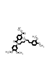 COc1ccc(CCN(C)CCCN(C(=O)c2ccc([N+](=O)[O-])cc2)c2ccc(OC)c(OC)c2)cc1OC.[Cl-].[H+]